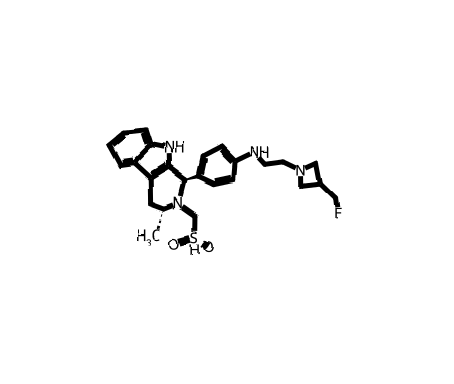 C[C@@H]1Cc2c([nH]c3ccccc23)[C@@H](c2ccc(NCCN3CC(CF)C3)cc2)N1C[SH](=O)=O